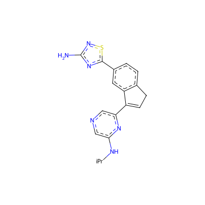 CC(C)Nc1cncc(C2=CCc3ccc(-c4nc(N)ns4)cc32)n1